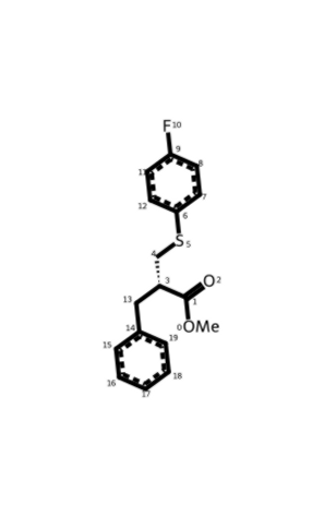 COC(=O)[C@@H](CSc1ccc(F)cc1)Cc1ccccc1